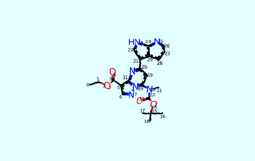 CCOC(=O)c1cnn2c(N(C)C(=O)OC(C)(C)C)cc(-c3c[nH]c4ncccc34)nc12